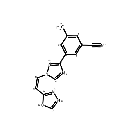 Cc1cc(C#N)cc(-c2ncn(/C=C\c3nnco3)n2)c1